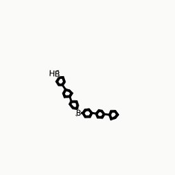 CBc1ccc(-c2ccc(-c3ccc(B(C)c4ccc(-c5ccc(-c6ccccc6)cc5)cc4)cc3)cc2)cc1